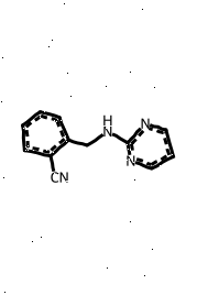 N#Cc1ccccc1CNc1ncccn1